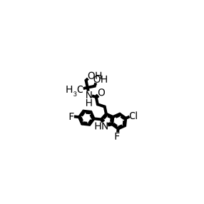 CC(CO)(CO)NC(=O)CCc1c(-c2ccc(F)cc2)[nH]c2c(F)cc(Cl)cc12